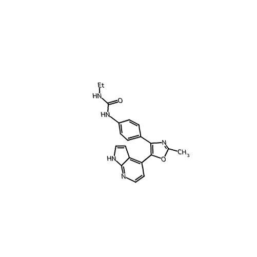 CCNC(=O)Nc1ccc(-c2nc(C)oc2-c2ccnc3[nH]ccc23)cc1